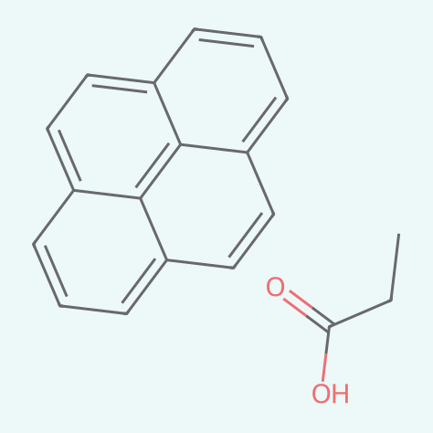 CCC(=O)O.c1cc2ccc3cccc4ccc(c1)c2c34